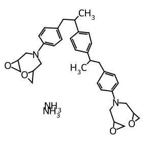 CC(Cc1ccc(N(CC2CO2)CC2CO2)cc1)c1ccc(C(C)Cc2ccc(N(CC3CO3)CC3CO3)cc2)cc1.N.N